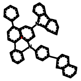 c1ccc(-c2ccc(-c3ccccc3N(c3ccc(-c4ccc5ccccc5c4)cc3)c3cccc(-n4c5ccccc5c5ccccc54)c3)cc2)cc1